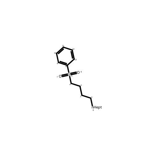 CCCCCCCCCCCS(=O)(=O)c1ccccc1